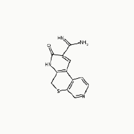 N=C(N)c1cc2c([nH]c1=O)CSc1cnccc1-2